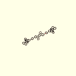 c1ccc2c(-n3c4ccccc4c4cc(-c5ccc(-c6ccc7c(c6)C6(CCCC6)c6cc8c(cc6-7)C6(CCCC6)c6cc(-c7ccc(-c9ccc%10c(c9)c9ccccc9n%10-c9cccc%10ccccc9%10)cc7)ccc6-8)cc5)ccc43)cccc2c1